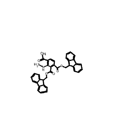 NNc1c(C(=O)O)ccc(C(=O)OCC2c3ccccc3-c3ccccc32)c1C(=O)OCC1c2ccccc2-c2ccccc21